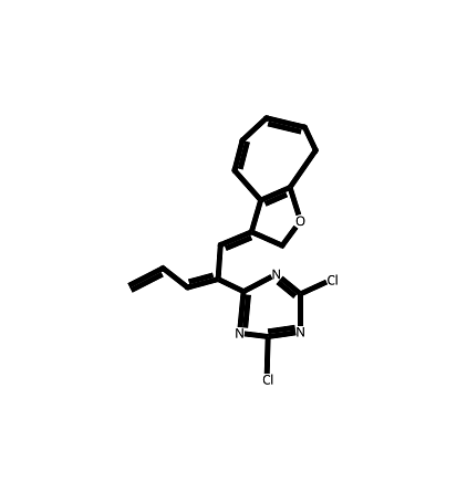 C=C/C=C(\C=C1/COC2=C1C=CC=CC2)c1nc(Cl)nc(Cl)n1